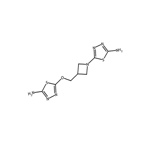 Nc1nnc(OCC2CN(c3nnc(N)s3)C2)s1